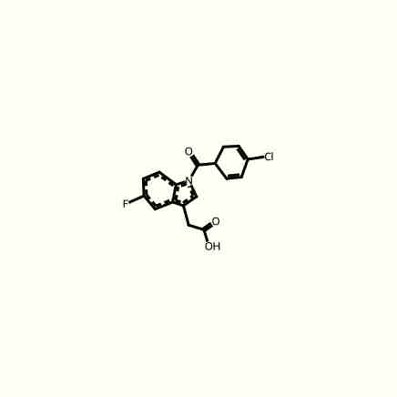 O=C(O)Cc1cn(C(=O)C2C=CC(Cl)=CC2)c2ccc(F)cc12